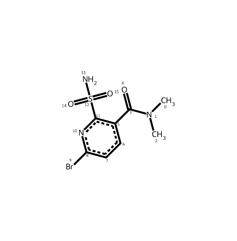 CN(C)C(=O)c1ccc(Br)nc1S(N)(=O)=O